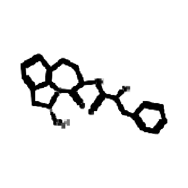 O=C(NC1CCc2cccc3c2N(C1=O)[C@H](C(=O)O)C3)[C@@H](S)Cc1ccccc1